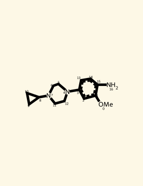 COc1cc(N2CCN(C3CC3)CC2)ccc1N